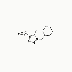 Cc1c(C(=O)O)nnn1CC1CCCCC1